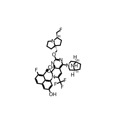 C#Cc1c(F)ccc2cc(O)cc(-n3c(C(F)(F)F)cc4c(N5C[C@H]6CC[C@@H](C5)N6)nc(OC[C@]56CCCN5[C@@H](CF)CC6)nc4c3=O)c12